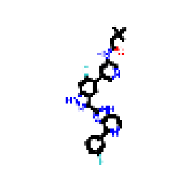 CC(C)(C)CC(=O)Nc1cncc(-c2cc3c(-c4nc5c(-c6cccc(F)c6)nccc5[nH]4)n[nH]c3cc2F)c1